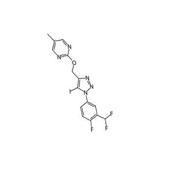 Cc1cnc(OCc2nnn(-c3ccc(F)c(C(F)F)c3)c2I)nc1